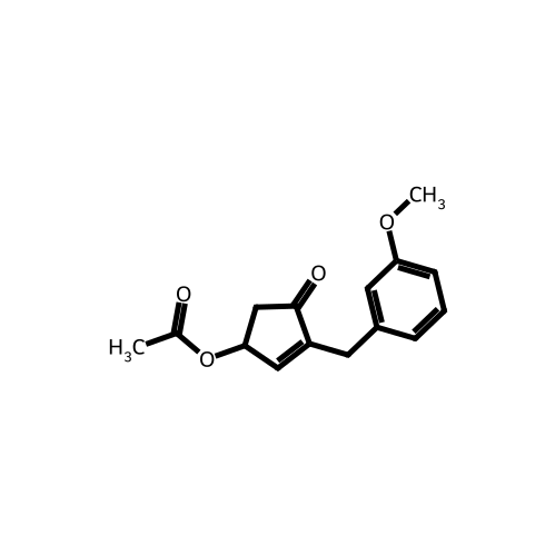 COc1cccc(CC2=CC(OC(C)=O)CC2=O)c1